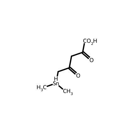 [CH3][SnH]([CH3])[CH2]C(=O)CC(=O)C(=O)O